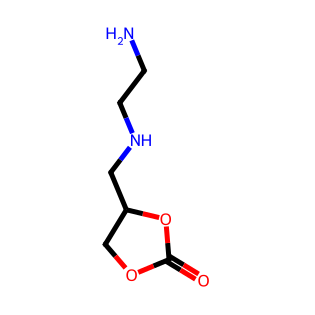 NCCNCC1COC(=O)O1